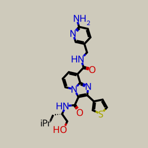 CC(C)C[C@@H](CO)NC(=O)c1c(-c2ccsc2)nc2c(C(=O)NCc3ccc(N)nc3)cccn12